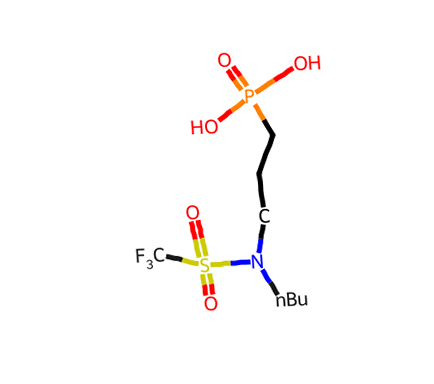 CCCCN(CCCP(=O)(O)O)S(=O)(=O)C(F)(F)F